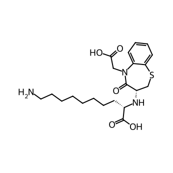 NCCCCCCCC[C@H](N[C@H]1CSc2ccccc2N(CC(=O)O)C1=O)C(=O)O